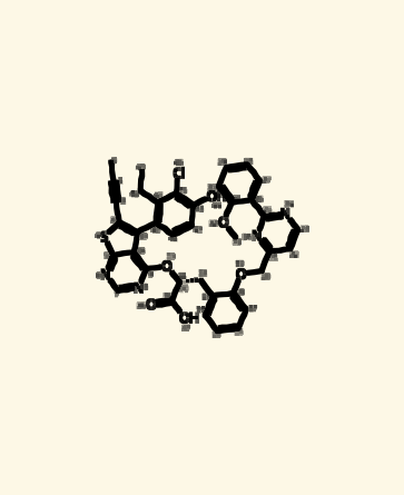 CC#Cc1sc2ncnc(O[C@H](Cc3ccccc3OCc3ccnc(-c4ccccc4OC)n3)C(=O)O)c2c1-c1ccc(O)c(Cl)c1CC